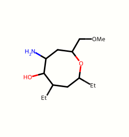 CCC1CC(CC)C(O)C(N)CC(COC)O1